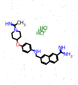 CC(=N)N1CCC(Oc2ccc(NCc3ccc4ccc(C(=N)N)cc4c3)cc2)CC1.Cl.Cl.Cl